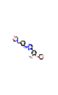 N#Cc1cc(-c2ccnc(Nc3cccc(CN4CCOCC4)c3)n2)ccc1OC1CCOCC1